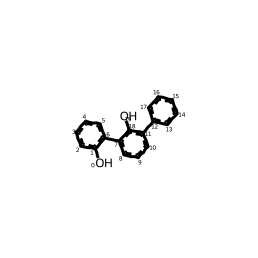 Oc1ccccc1-c1cccc(-c2ccccc2)c1O